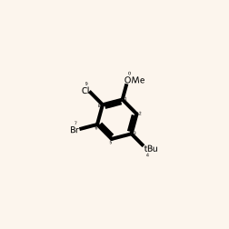 COc1cc(C(C)(C)C)cc(Br)c1Cl